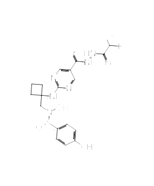 Cc1ccc([S+]([O-])N(O)CC2(Nc3ncc(C(=O)NNC(=O)C(F)F)cn3)CCC2)cc1